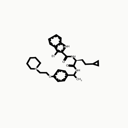 CCc1c(C(=O)N[C@@H](CCC2CC2)C(=O)NC(C)c2ccc(OCCN3CCCCC3)cc2)[nH]c2ccccc12